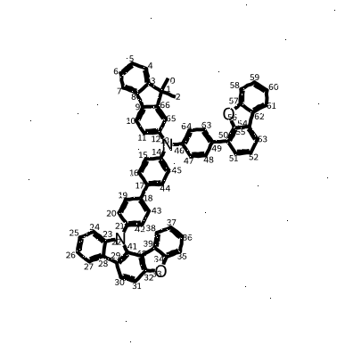 CC1(C)c2ccccc2-c2ccc(N(c3ccc(-c4ccc(-n5c6ccccc6c6ccc7oc8ccccc8c7c65)cc4)cc3)c3ccc(-c4cccc5c4oc4ccccc45)cc3)cc21